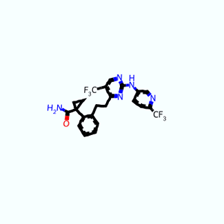 NC(=O)C1(c2ccccc2CCc2nc(Nc3ccc(C(F)(F)F)nc3)ncc2C(F)(F)F)CC1